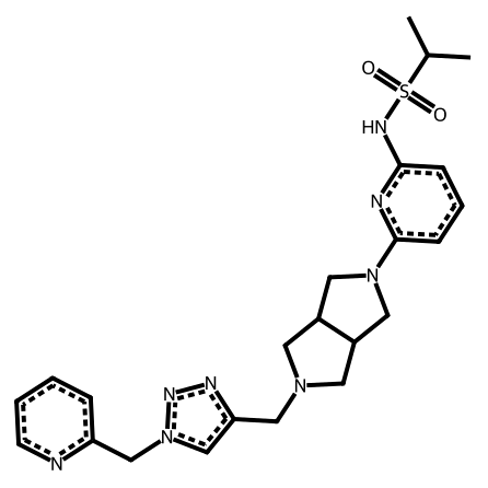 CC(C)S(=O)(=O)Nc1cccc(N2CC3CN(Cc4cn(Cc5ccccn5)nn4)CC3C2)n1